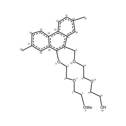 COCCOCCOc1c(COCCOCCO)c2cc(C)ccc2c2ccc(C)cc12